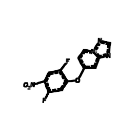 O=[N+]([O-])c1cc(F)c(Oc2ccn3ncnc3c2)cc1F